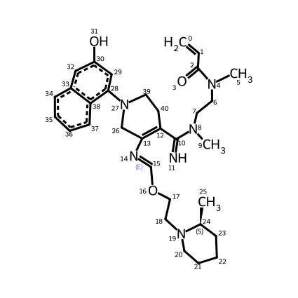 C=CC(=O)N(C)CCN(C)C(=N)C1=C(/N=C/OCCN2CCCC[C@@H]2C)CN(c2cc(O)cc3ccccc23)CC1